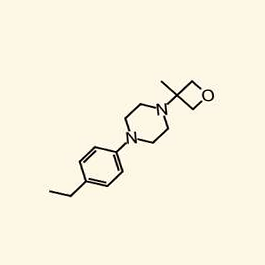 CCc1ccc(N2CCN(C3(C)COC3)CC2)cc1